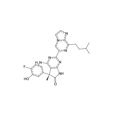 CC(C)CCc1nc(-c2nc(N)c3c(n2)NC(=O)[C@]3(C)c2ccc(F)c(O)c2)cn2ccnc12